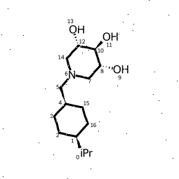 CC(C)[C@H]1CC[C@@H](CN2C[C@@H](O)[C@H](O)[C@@H](O)C2)CC1